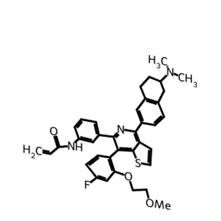 C=CC(=O)Nc1cccc(-c2nc(-c3ccc4c(c3)CCC(N(C)C)C4)c3ccsc3c2-c2ccc(F)cc2OCCOC)c1